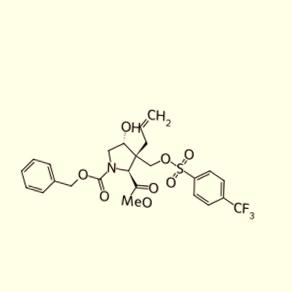 C=CC[C@]1(COS(=O)(=O)c2ccc(C(F)(F)F)cc2)[C@@H](O)CN(C(=O)OCc2ccccc2)[C@@H]1C(=O)OC